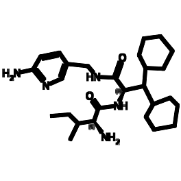 CCC(C)[C@H](N)C(=O)N[C@@H](C(=O)NCc1ccc(N)nc1)C(C1CCCCC1)C1CCCCC1